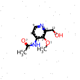 COc1c(NC(C)=O)ccnc1CO